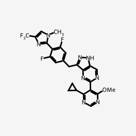 COc1ncnc(C2CC2)c1-c1ncc2[nH]nc(Cc3cc(F)c(-c4nc(C(F)(F)F)cn4C)c(F)c3)c2n1